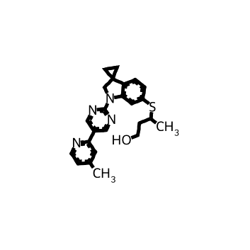 Cc1ccnc(-c2cnc(N3CC4(CC4)c4ccc(SC(C)CCO)cc43)nc2)c1